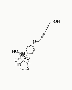 CC1(C)SCCN[C@@]1(C(=O)NO)S(=O)(=O)c1ccc(OCC#CC#CCO)cc1